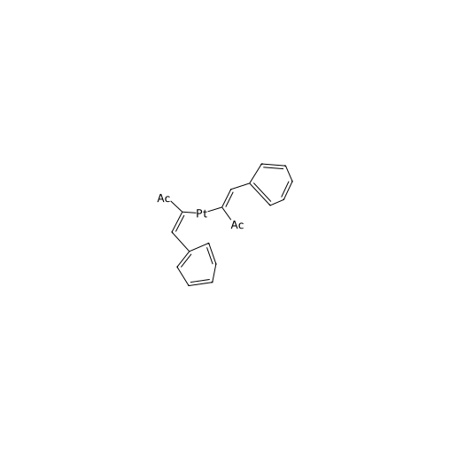 CC(=O)[C](=Cc1ccccc1)[Pt][C](=Cc1ccccc1)C(C)=O